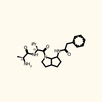 CC(C)[C@H](NC(=O)[C@H](C)N)C(=O)N1CCC2CCC(NC(=O)Cc3ccccc3)C21